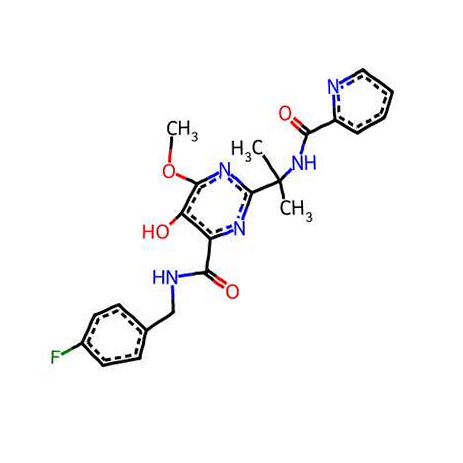 COc1nc(C(C)(C)NC(=O)c2ccccn2)nc(C(=O)NCc2ccc(F)cc2)c1O